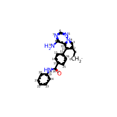 [CH2]Cc1cn2ncnc(N)c2c1-c1ccc(C(=O)Nc2ccccc2)cc1